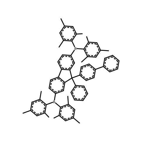 Cc1cc(C)c(B(c2ccc3c(c2)C(c2ccccc2)(c2ccc(-c4ccccc4)cc2)c2cc(B(c4c(C)cc(C)cc4C)c4c(C)cc(C)cc4C)ccc2-3)c2c(C)cc(C)cc2C)c(C)c1